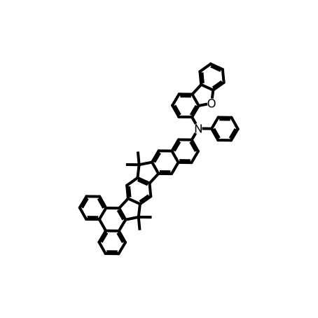 CC1(C)c2cc3c(cc2-c2cc4ccc(N(c5ccccc5)c5cccc6c5oc5ccccc56)cc4cc21)C(C)(C)c1c-3c2ccccc2c2ccccc12